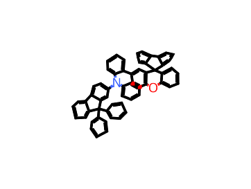 c1ccc(N(c2ccc3c(c2)C(c2ccccc2)(c2ccccc2)c2ccccc2-3)c2ccccc2-c2ccc3c(c2)C2(c4ccccc4O3)c3ccccc3-c3ccccc32)cc1